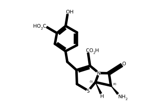 N[C@@H]1C(=O)N2C(C(=O)O)=C(Cc3ccc(O)c(C(=O)O)c3)CS[C@@H]12